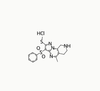 CSc1nn2c3c(c(C)nc2c1S(=O)(=O)c1ccccc1)CCNC3.Cl